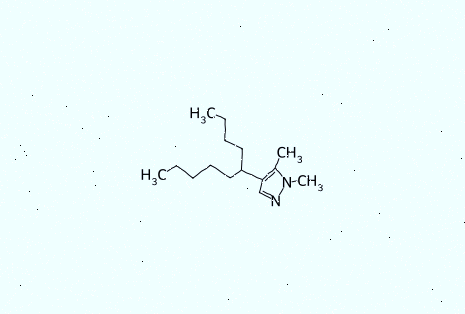 CCCCCC(CCCC)c1cnn(C)c1C